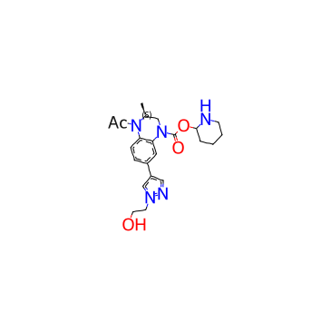 CC(=O)N1c2ccc(-c3cnn(CCO)c3)cc2N(C(=O)OC2CCCCN2)C[C@@H]1C